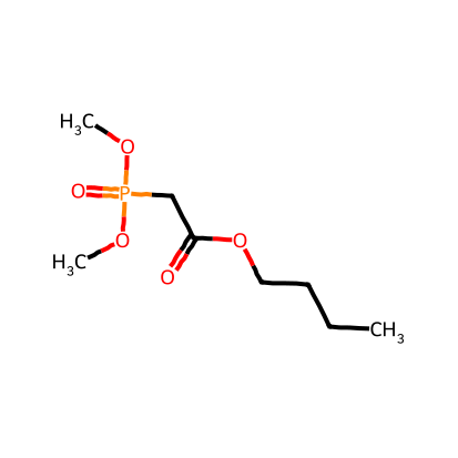 CCCCOC(=O)CP(=O)(OC)OC